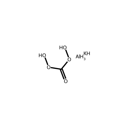 O=C(OO)OO.[AlH3].[KH]